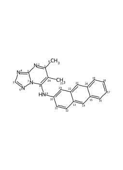 Cc1nc2ncnn2c(Nc2ccc3cc4ccccc4cc3c2)c1C